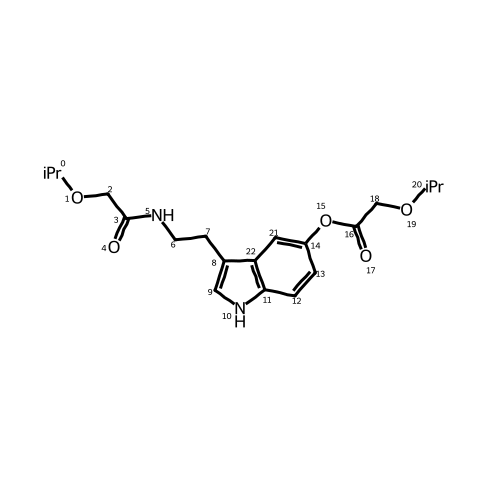 CC(C)OCC(=O)NCCc1c[nH]c2ccc(OC(=O)COC(C)C)cc12